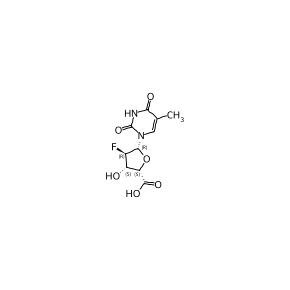 Cc1cn([C@@H]2O[C@H](C(=O)O)[C@H](O)[C@H]2F)c(=O)[nH]c1=O